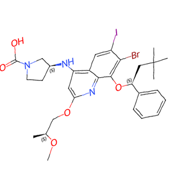 CO[C@@H](C)COc1cc(N[C@H]2CCN(C(=O)O)C2)c2cc(I)c(Br)c(O[C@@H](CC(C)(C)C)c3ccccc3)c2n1